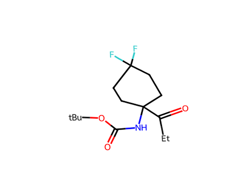 CCC(=O)C1(NC(=O)OC(C)(C)C)CCC(F)(F)CC1